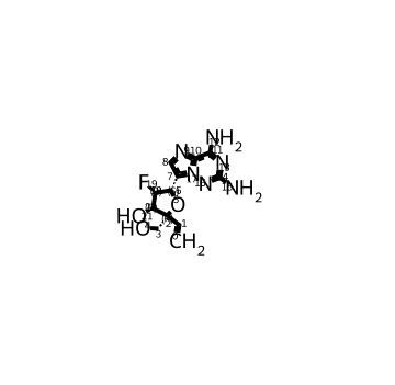 C=C[C@]1(CO)O[C@@H](c2cnc3c(N)nc(N)nn23)[C@H](F)[C@@H]1O